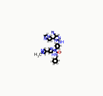 Cn1cc(-c2ccc(N(C(=O)NCc3ccccc3)c3ccc(Nc4ncc(C#N)c(-c5ccc6nccn6c5)n4)cc3)nc2)cn1